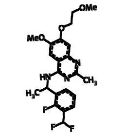 COCCOc1cc2nc(C)nc(NC(C)c3cccc(C(F)F)c3F)c2cc1OC